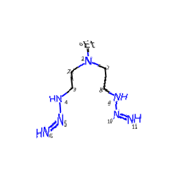 CCN(CCNN=N)CCNN=N